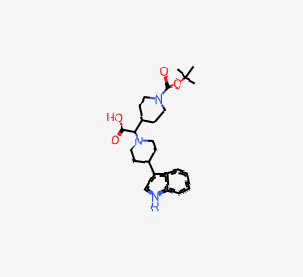 CC(C)(C)OC(=O)N1CCC(C(C(=O)O)N2CCC(c3c[nH]c4ccccc34)CC2)CC1